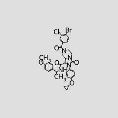 COc1ccc(C(C)NC(=O)c2c3n(c(=O)n2-c2ccc(OC4CC4)cc2)CCN(C(=O)c2ccc(Br)c(Cl)c2)C3)cc1